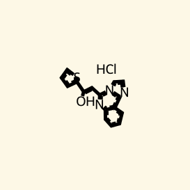 Cl.O/C(=C\c1nc2ccccc2c2nccn12)c1cccs1